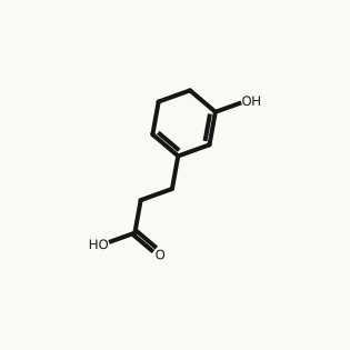 O=C(O)CCC1=CCCC(O)=C1